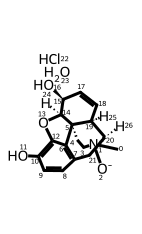 C[N+]1([O-])CC[C@]23c4c5ccc(O)c4O[C@H]2[C@@H](O)C=C[C@H]3[C@H]1C5.Cl.O